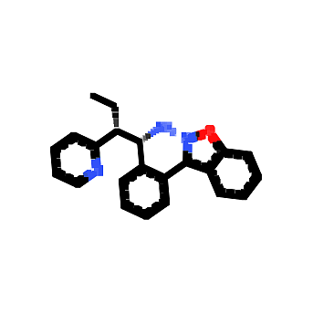 CC[C@@H](c1ccccn1)[C@H](N)c1ccccc1-c1noc2ccccc12